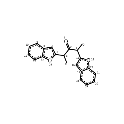 CC(C(=O)C(C)c1cc2ccccc2o1)c1cc2ccccc2o1